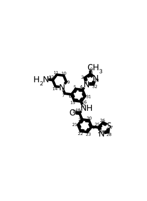 Cc1cn(-c2cc(CN3CCCC(N)C3)cc(NC(=O)c3cccc(-c4cscn4)c3)c2)cn1